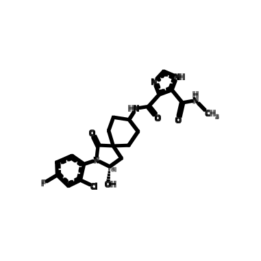 CNC(=O)c1[nH]cnc1C(=O)NC1CCC2(CC1)C[C@H](O)N(c1ccc(F)cc1Cl)C2=O